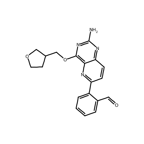 Nc1nc(OCC2CCOC2)c2nc(-c3ccccc3C=O)ccc2n1